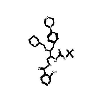 CC(C)(C)OC(=O)NC(CNC(=O)c1ccccc1O)C(Cc1ccc(N2CCOCC2)cc1)SCC1CCCCC1